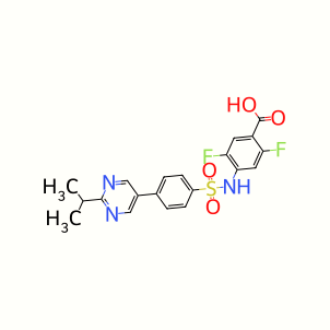 CC(C)c1ncc(-c2ccc(S(=O)(=O)Nc3cc(F)c(C(=O)O)cc3F)cc2)cn1